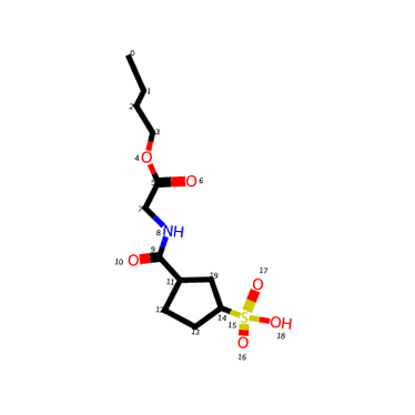 CCCCOC(=O)CNC(=O)C1CCC(S(=O)(=O)O)C1